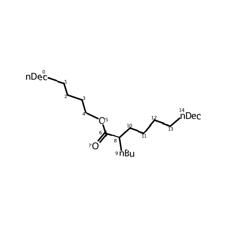 CCCCCCCCCCCCCCOC(=O)C(CCCC)CCCCCCCCCCCCCC